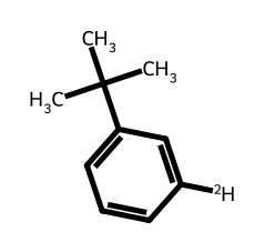 [2H]c1cccc(C(C)(C)C)c1